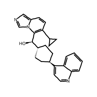 O[C@@H](c1c(C2CC2)ccc2cncn12)[C@H]1CC[C@H](c2ccnc3ccccc32)CC1